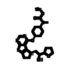 CN(C(=O)OC(C)(C)C)[C@H]1CC[C@H](Oc2ncnc3sc4c(c23)[C@@H](CC(O)C2CCCO2)CC4)CC1